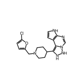 Clc1ccc(CN2CCC(C3=C4c5cc[nH]c5N=CN4NN3)CC2)o1